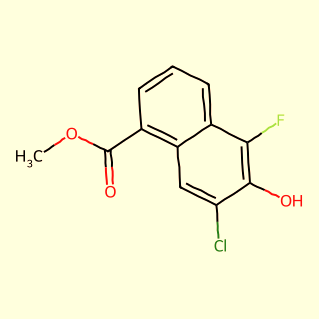 COC(=O)c1cccc2c(F)c(O)c(Cl)cc12